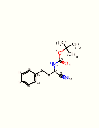 CC(C)(C)OC(=O)NC(C#N)CCc1ccccc1